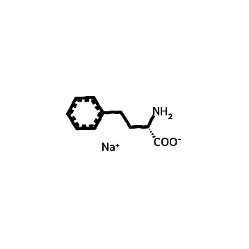 N[C@@H](CCc1ccccc1)C(=O)[O-].[Na+]